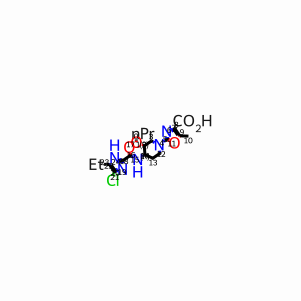 CCCO[C@H]1CN(c2nc(C(=O)O)c(C)o2)CC[C@H]1NC(=O)c1nc(Cl)c(CC)[nH]1